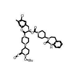 Cc1ccc(C[C@@H](OC(=O)N2CCC(N3CCc4ccccc4NC3=O)CC2)C(=O)N2CCN(C3CCN(OC(C)(C)C)C(=C=O)C3)CC2)cc1Cl